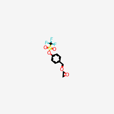 C1CO1.O=Cc1ccc(OS(=O)(=O)C(F)(F)F)cc1